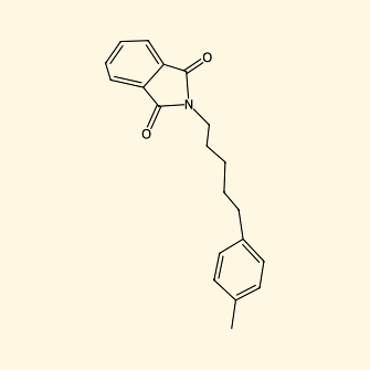 Cc1ccc(CCCCCN2C(=O)c3ccccc3C2=O)cc1